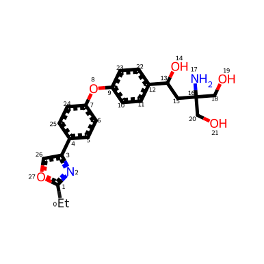 CCc1nc(-c2ccc(Oc3ccc(C(O)CC(N)(CO)CO)cc3)cc2)co1